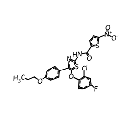 CCCOc1ccc(-c2nc(NC(=O)c3ccc([N+](=O)[O-])s3)sc2Oc2ccc(F)cc2Cl)cc1